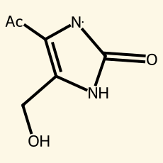 CC(=O)C1=C(CO)NC(=O)[N]1